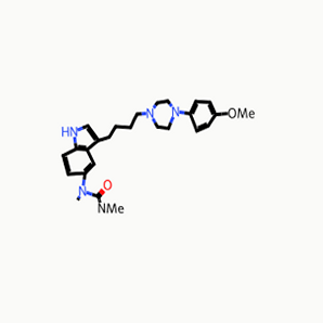 CNC(=O)N(C)c1ccc2[nH]cc(CCCCN3CCN(c4ccc(OC)cc4)CC3)c2c1